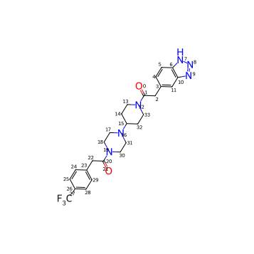 O=C(Cc1ccc2[nH]nnc2c1)N1CCC(N2CCN(C(=O)Cc3ccc(C(F)(F)F)cc3)CC2)CC1